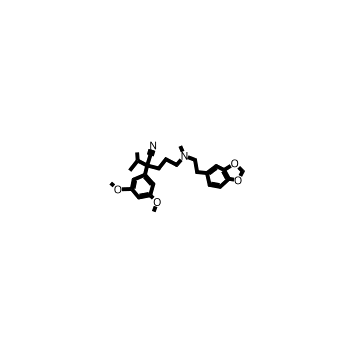 COc1cc(OC)cc(C(C#N)(CCCN(C)CCc2ccc3c(c2)OCO3)C(C)C)c1